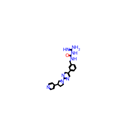 N=C(N)NC(=O)NCc1cccc(-c2cnc(N3CCC(c4ccncc4)C3)nc2)c1